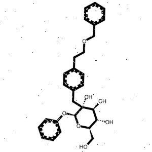 OC[C@H]1O[C@@H](Oc2ccccc2)[C@@](O)(Cc2ccc(CCOCc3ccccc3)cc2)[C@@H](O)[C@@H]1O